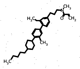 C=CC(=O)N(C)CCCc1ccc(-c2ccc(C3CCC(CCCCC)CC3)c(C)c2)c(CC)c1